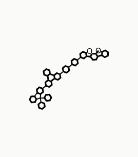 c1ccc(C2(c3ccccc3)c3ccccc3-c3ccc(-c4ccc5c6ccc(-c7ccc(-c8ccc(-c9ccc%10oc%11c(ccc%12c%13ccccc%13oc%12%11)c%10c9)cc8)cc7)cc6c6ccccc6c5c4)cc32)cc1